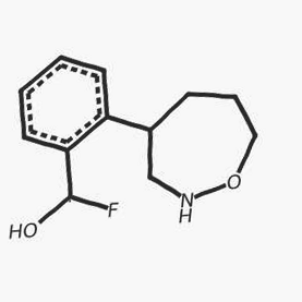 O[C](F)c1ccccc1C1CCCONC1